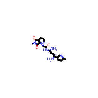 Cc1ccc(/C(N)=C/C=C(\N)NC(=O)CN2CCCC3=C2C(=O)N(C)C3=O)cn1